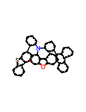 c1cc(-c2cc3ccccc3c3ccccc23)cc(N(c2ccccc2-c2ccc3c(c2)sc2ccccc23)c2cccc3oc4ccccc4c23)c1